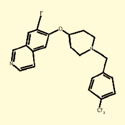 Fc1cc2cnccc2cc1OC1CCN(Cc2ccc(C(F)(F)F)cc2)CC1